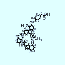 Cc1c(OC2CC3(CCN(CC(=O)O)CC3)C2)cccc1-c1ccc(N2CCc3cccc(C(=O)Nc4nc5ccccc5s4)c3C2)nc1C(=O)OC(C)(C)C